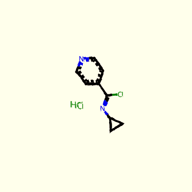 Cl.ClC(=NC1CC1)c1ccncc1